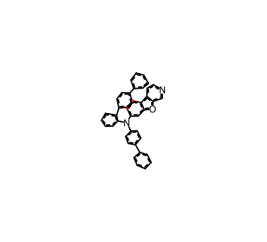 c1ccc(-c2ccc(-c3ccccc3N(c3ccc(-c4ccccc4)cc3)c3ccc4c(c3)oc3cnccc34)cc2)cc1